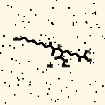 CCCCCCCCCCCCCCCCNC(=O)NC(CCCNC(=N)N)C(=O)NCCCCCC.Cl